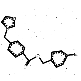 CCc1ccc(COC(=O)c2ccc(Cn3ccnc3)cc2)cc1